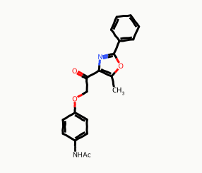 CC(=O)Nc1ccc(OCC(=O)c2nc(-c3ccccc3)oc2C)cc1